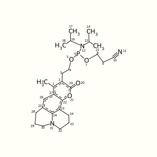 Cc1c(CCOP(OCCC#N)N(C(C)C)C(C)C)c(=O)oc2c3c4c(cc12)CCCN4CCC3